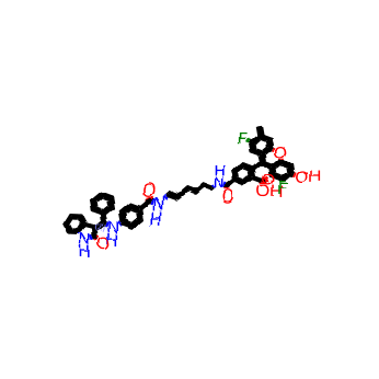 C=c1cc2c(cc1F)=C(c1ccc(C(=O)NCCCCCCNC(=O)c3ccc(N/C(=C4\C(=O)Nc5ccccc54)c4ccccc4)cc3)cc1C(=O)O)c1cc(F)c(O)cc1O2